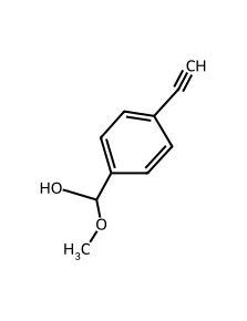 C#Cc1ccc(C(O)OC)cc1